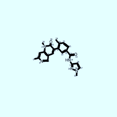 Cc1cc2c(cn1)cc(-c1cc(C(=O)Nc3ccn(C)n3)ccc1C)c(=O)n2C